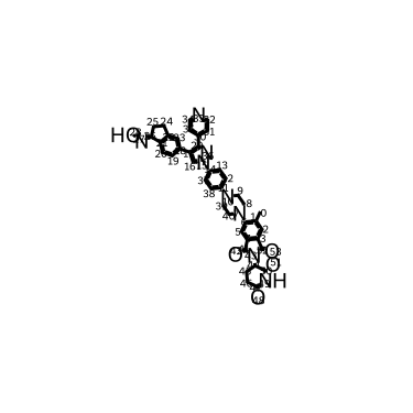 Cc1cc2c(cc1N1CCN(c3ccc(-n4cc(-c5ccc6c(c5)CC/C6=N\O)c(-c5ccncc5)n4)cc3)CC1)C(=O)N(C1CCC(=O)NC1=O)C2=O